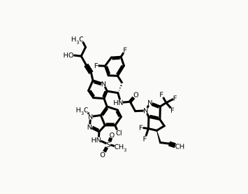 C#CC[C@@H]1Cc2c(C(F)(F)F)nn(CC(=O)N[C@@H](Cc3cc(F)cc(F)c3)c3nc(C#CC(O)CC)ccc3-c3ccc(Cl)c4c(NS(C)(=O)=O)nn(C)c34)c2C1(F)F